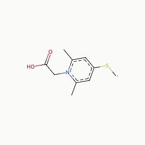 [CH2]Sc1cc(C)[n+](CC(=O)O)c(C)c1